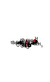 CC(C)(C)OC(=O)Oc1c(CCB2O[C@@H]3C[C@@H]4C[C@@H](C4(C)C)[C@]3(C)O2)ccc(OC2CN(C(=O)C(N)c3cn(C(=O)OC(C)(C)C)cn3)C2)c1C(=O)OC(C)(C)C